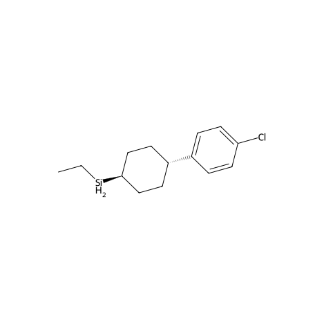 CC[SiH2][C@H]1CC[C@H](c2ccc(Cl)cc2)CC1